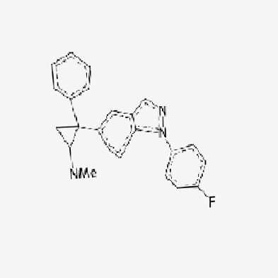 CNC1CC1(c1ccccc1)c1ccc2c(cnn2-c2ccc(F)cc2)c1